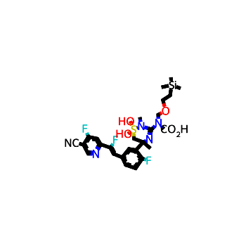 CN1C(N(COCC[Si](C)(C)C)C(=O)O)=NC(C)(c2cc(C=C(F)c3cc(F)c(C#N)cn3)ccc2F)CS1(O)O